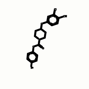 CC(C)c1ccc(OC(=O)N2CCC(Oc3ccc(C#N)c(Cl)c3)CC2)cc1